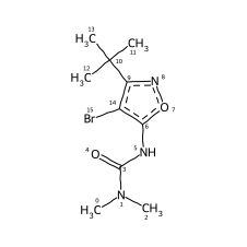 CN(C)C(=O)Nc1onc(C(C)(C)C)c1Br